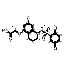 O=C(O)COc1cc(F)cc2c1CCCC2NS(=O)(=O)c1cc(Cl)ccc1Cl